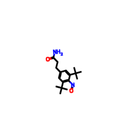 CC(C)(C)c1cc(CCC(N)=O)cc(C(C)(C)C)c1N=O